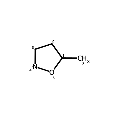 CC1CC[N]O1